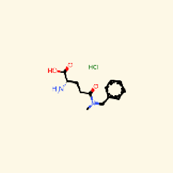 CN(Cc1ccccc1)C(=O)CC[C@H](N)C(=O)O.Cl